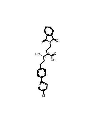 O=C(O)[C@H](CCN1C(=O)c2ccccc2C1=O)[C@@H](O)CCc1ccc(-c2ccc(Cl)cc2)cc1